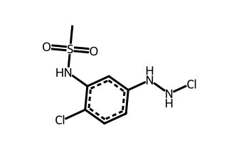 CS(=O)(=O)Nc1cc(NNCl)ccc1Cl